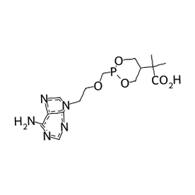 CC(C)(C(=O)O)C1COP(COCCn2cnc3c(N)ncnc32)OC1